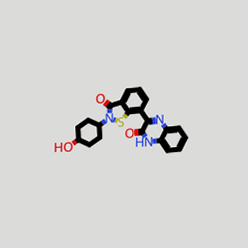 O=c1[nH]c2ccccc2nc1-c1cccc2c(=O)n(C3CCC(O)CC3)sc12